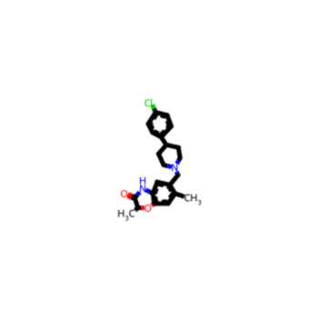 Cc1cc2c(cc1CN1CCC(c3ccc(Cl)cc3)CC1)NC(=O)C(C)O2